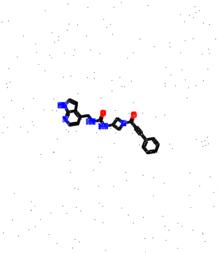 O=C(NCc1ccnc2[nH]ccc12)NC1CN(C(=O)C#Cc2ccccc2)C1